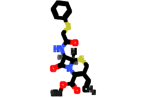 C=CC1=C(C(=O)OC(C)(C)C)N2C(=O)[C@@H](NC(=O)CSc3ccccc3)[C@H]2SC1